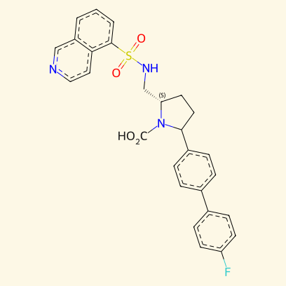 O=C(O)N1C(c2ccc(-c3ccc(F)cc3)cc2)CC[C@H]1CNS(=O)(=O)c1cccc2cnccc12